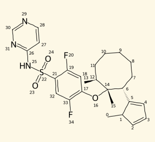 CC1C=CC=C1[C@H]1CCCCC[C@H](C)[C@@]1(C)Oc1cc(F)c(S(=O)(=O)Nc2ccncn2)cc1F